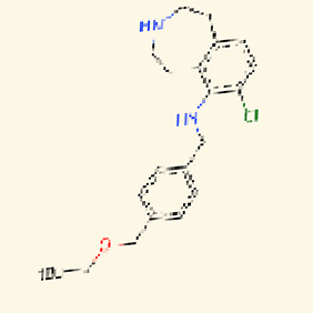 CC(C)(C)COCc1ccc(CNc2c(Cl)ccc3c2CCNCC3)cc1